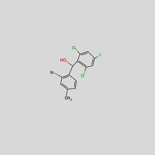 Cc1ccc(C(O)c2c(Cl)cc(F)cc2Cl)c(Br)c1